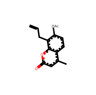 C=CCc1c(OC(C)=O)ccc2c(C)cc(=O)oc12